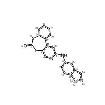 O=C1Cc2cnc(Nc3ccc4[nH]ncc4c3)nc2-c2ccccc2S1